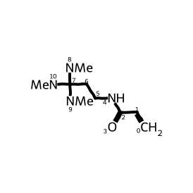 C=CC(=O)NCCC(NC)(NC)NC